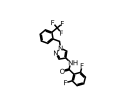 O=C(Nc1cnn(Cc2ccccc2C(F)(F)F)c1)c1c(F)cccc1F